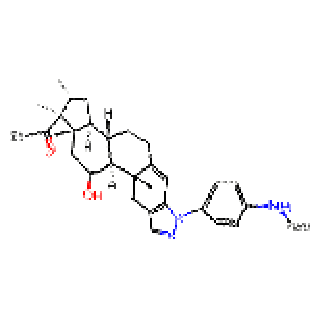 CCCCNc1ccc(-n2ncc3c2C=C2CC[C@@H]4[C@H]([C@@H](O)C[C@@]5(C)[C@H]4C[C@@H](C)[C@]5(C)C(=O)CC)[C@@]2(C)C3)cc1